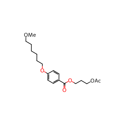 COCCCCCCOc1ccc(C(=O)OCCCOC(C)=O)cc1